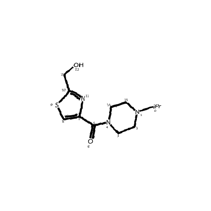 CC(C)N1CCN(C(=O)c2csc(CO)n2)CC1